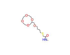 CNC(=O)CSCCCCOCC1COCCOCCOCCO1